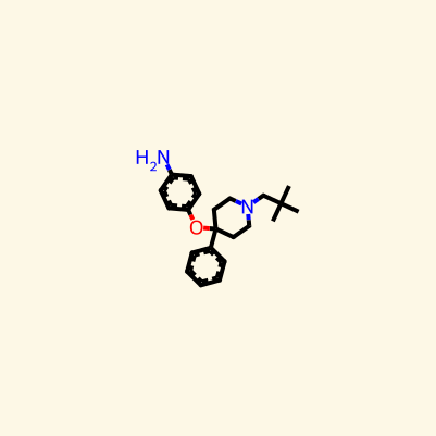 CC(C)(C)CN1CCC(Oc2ccc(N)cc2)(c2ccccc2)CC1